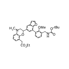 CCOC(=O)Cc1cccc2c1OC(c1cc(-c3cccc(CNC(=O)OC(C)(C)C)c3OC)c3occc3c1)CN2C